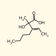 CC=C(CCCC)C(C)(O)C(=O)O